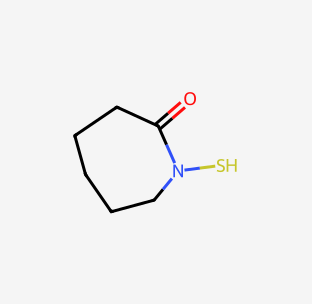 O=C1CCCCCN1S